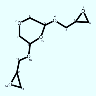 C1OC1COC1COCC(OCC2CO2)O1